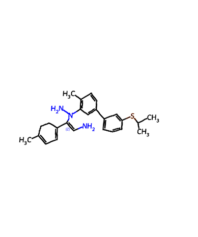 CC1=CC=C(/C(=C/N)N(N)c2cc(-c3cccc(SC(C)C)c3)ccc2C)CC1